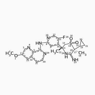 COc1cnc2c(Nc3cc([C@]4(C)CS(=O)(=O)[C@@](C)(C5CC5)C(=N)N4)c(F)cn3)nccc2c1